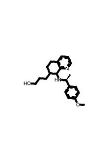 COc1ccc([C@H](C)NC2c3ncccc3CCC2CCCO)cc1